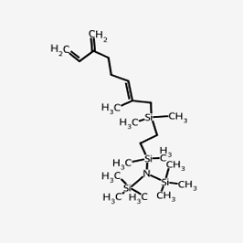 C=CC(=C)CC/C=C(\C)C[Si](C)(C)CC[Si](C)(C)N([Si](C)(C)C)[Si](C)(C)C